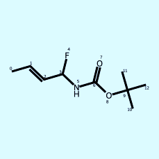 CC=CC(F)NC(=O)OC(C)(C)C